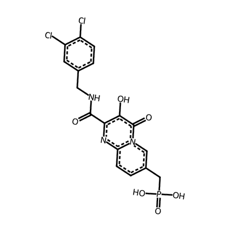 O=C(NCc1ccc(Cl)c(Cl)c1)c1nc2ccc(CP(=O)(O)O)cn2c(=O)c1O